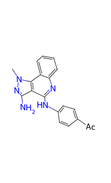 CC(=O)c1ccc(Nc2nc3ccccc3c3c2c(N)nn3C)cc1